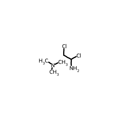 CN(C)C.NC(Cl)CCl